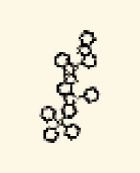 c1ccc(-n2c3ccc([Si](c4ccccc4)(c4ccccc4)c4ccccc4)cc3c3ccc4c(nc5n(-c6cccc7c6sc6ccccc67)c6ccccc6n45)c32)cc1